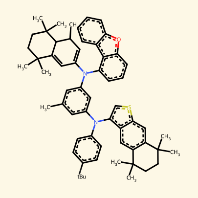 Cc1cc(N(C2=CC(C)C3C(=C2)C(C)(C)CCC3(C)C)c2cccc3oc4ccccc4c23)cc(N(c2ccc(C(C)(C)C)cc2)c2csc3cc4c(cc23)C(C)(C)CCC4(C)C)c1